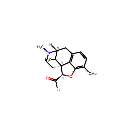 CCC(=O)[C@@H]1Oc2c(OC)ccc3c2[C@@]12CCN(C)[C@H](C3)C2C